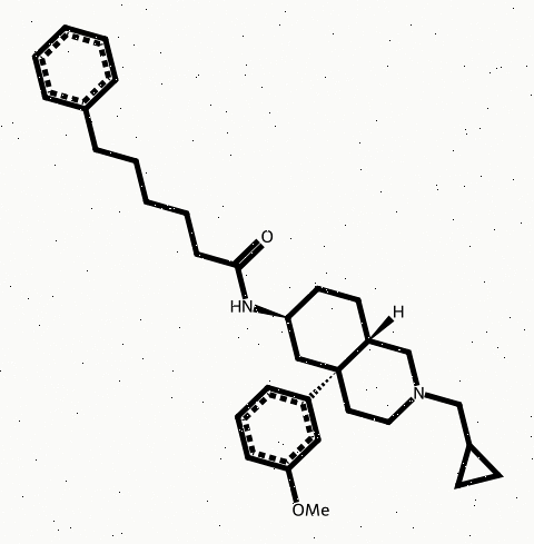 COc1cccc([C@@]23CCN(CC4CC4)C[C@H]2CC[C@H](NC(=O)CCCCCc2ccccc2)C3)c1